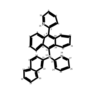 c1ccc(-c2c3ccccc3c(N(c3ccc4ccccc4c3)c3ccccn3)c3ccccc23)nc1